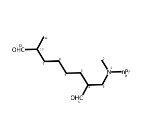 CCCN(C)CC(C=O)CCCCC(C)C=O